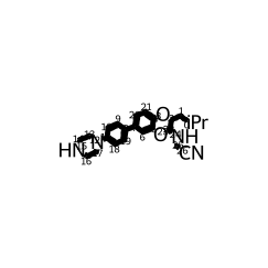 CC(C)CC(Oc1ccc(-c2ccc(N3CCNCC3)cc2)cc1)C(=O)NCC#N